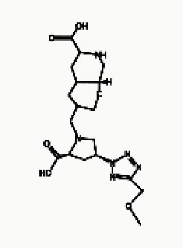 COCc1nnn([C@H]2C[C@@H](C(=O)O)N(CC3CC[C@H]4CNC(C(=O)O)CC4C3)C2)n1